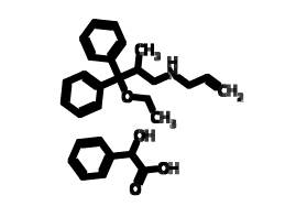 C=CCNCC(C)C(OCC)(c1ccccc1)c1ccccc1.O=C(O)C(O)c1ccccc1